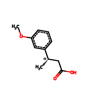 COc1cccc([C@@H](C)CC(=O)O)c1